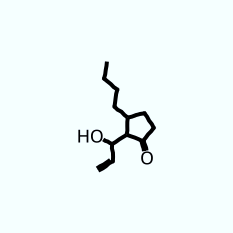 C=CC(O)C1C(=O)CCC1CCCC